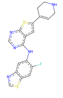 Fc1cc2scnc2cc1Nc1ncnc2sc(C3=CCNCC3)cc12